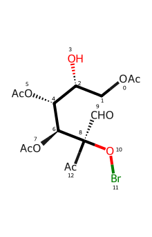 CC(=O)OC[C@@H](O)[C@@H](OC(C)=O)[C@H](OC(C)=O)[C@@](C=O)(OBr)C(C)=O